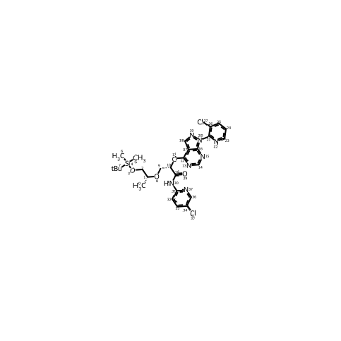 C[C@H](CO[Si](C)(C)C(C)(C)C)OC[C@H](Oc1ncnc2c1cnn2-c1ncccc1Cl)C(=O)Nc1ccc(Cl)cn1